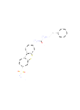 NS(=O)(=O)c1ccc2c(c1)sc1cc(NC(=O)NCCc3ccccc3)ccc12